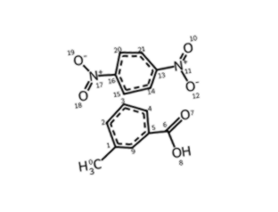 Cc1cccc(C(=O)O)c1.O=[N+]([O-])c1ccc([N+](=O)[O-])cc1